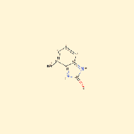 CCCc1cccc2c1=NC(=O)N=2